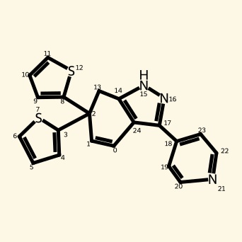 C1=CC(c2cccs2)(c2cccs2)Cc2[nH]nc(-c3ccncc3)c21